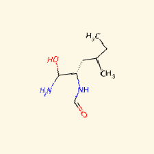 CCC(C)C[C@H](NC=O)C(N)O